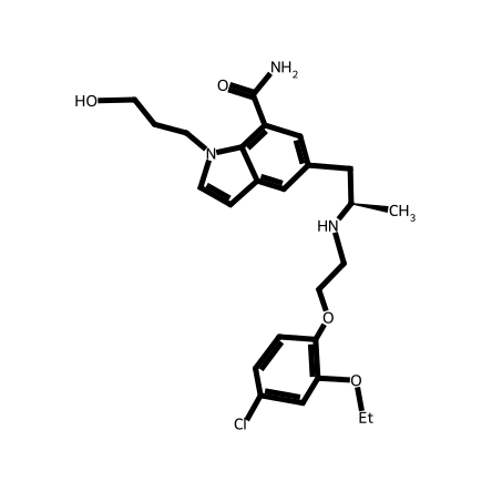 CCOc1cc(Cl)ccc1OCCN[C@H](C)Cc1cc(C(N)=O)c2c(ccn2CCCO)c1